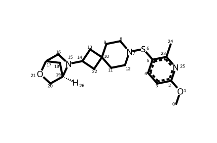 COc1ccc(SN2CCC3(CC2)CC(N2CC4C[C@@H]2CO4)C3)c(C)n1